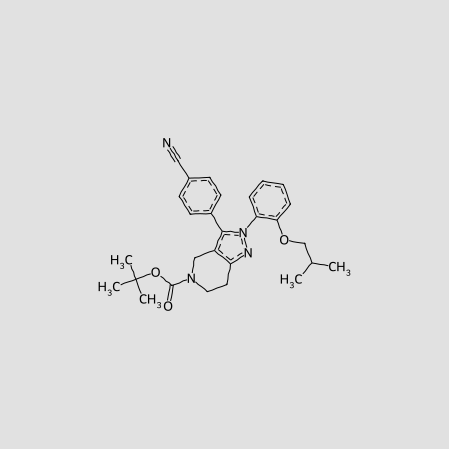 CC(C)COc1ccccc1-n1nc2c(c1-c1ccc(C#N)cc1)CN(C(=O)OC(C)(C)C)CC2